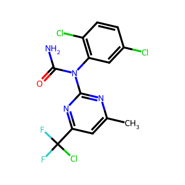 Cc1cc(C(F)(F)Cl)nc(N(C(N)=O)c2cc(Cl)ccc2Cl)n1